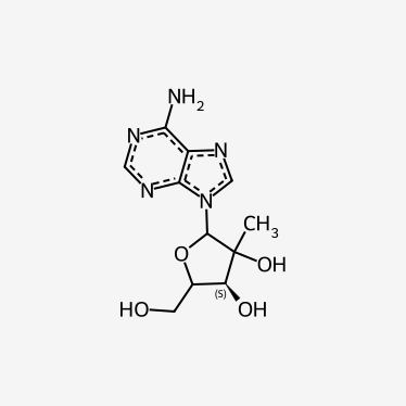 CC1(O)C(n2cnc3c(N)ncnc32)OC(CO)[C@@H]1O